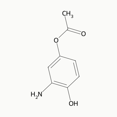 CC(=O)Oc1ccc(O)c(N)c1